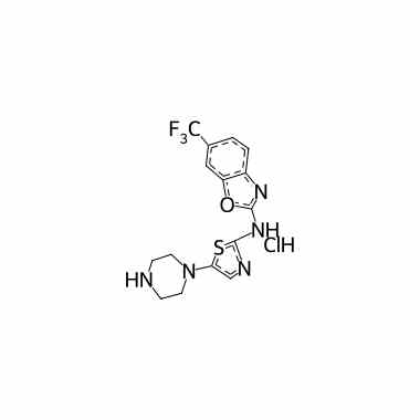 Cl.FC(F)(F)c1ccc2nc(Nc3ncc(N4CCNCC4)s3)oc2c1